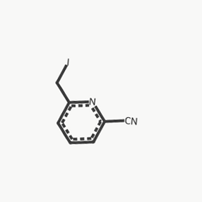 N#Cc1cccc(CI)n1